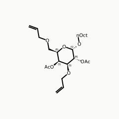 C=CCOC[C@H]1O[C@H](OCCCCCCCC)[C@H](OC(C)=O)[C@@H](OCC=C)[C@H]1OC(C)=O